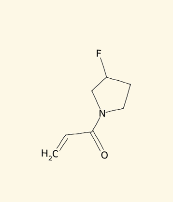 C=CC(=O)N1CCC(F)C1